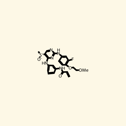 C=CC(=O)Nc1cccc(Nc2nc(Nc3ccc(OCCOC)c(F)c3)ncc2[S+](C)[O-])c1